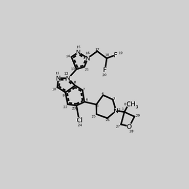 CC1(N2CCC(c3cc4c(cnn4-c4cnn(CC(F)F)c4)cc3Cl)CC2)COC1